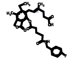 CCc1c(C)c2c(c(OC(=O)CCCC(=O)NCc3ccc(F)cc3)c1C/C=C(\C)CCC(=O)O)C(=O)OC2